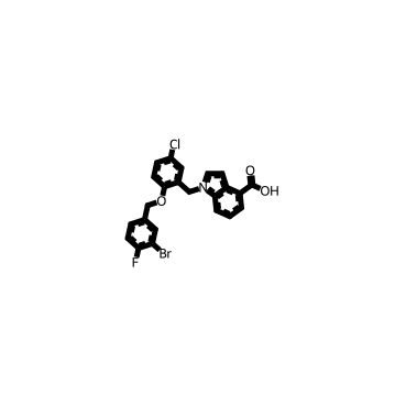 O=C(O)c1cccc2c1ccn2Cc1cc(Cl)ccc1OCc1ccc(F)c(Br)c1